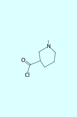 CN1CCCC(C(=O)Cl)C1